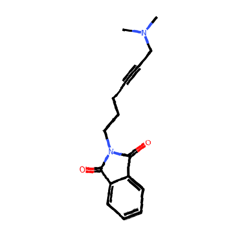 CN(C)CC#CCCCN1C(=O)c2ccccc2C1=O